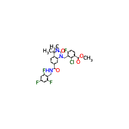 COC(=O)c1ccc(F)c(CN2C(=O)N(C)[C@@H](C)c3ccc(C(=O)NCc4c(F)cc(F)cc4F)cc32)c1Cl